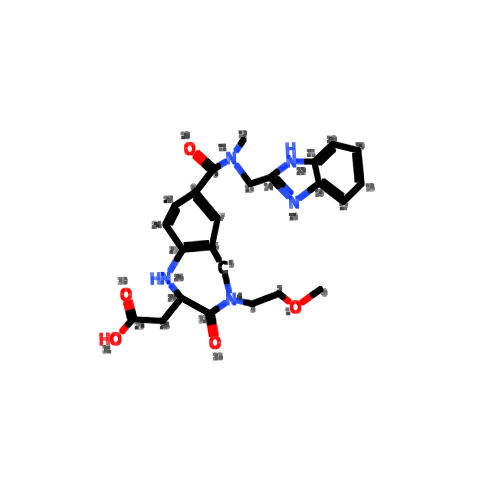 COCCN1Cc2cc(C(=O)N(C)Cc3nc4ccccc4[nH]3)ccc2NC(CC(=O)O)C1=O